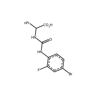 CCCC(NC(=O)Nc1ccc(Br)cc1F)C(=O)O